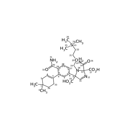 CC1(C)CC=C(c2cc(C3(C(=O)O)C=NC(C(N)=O)(C(=O)O)N3COCC[Si](C)(C)C)ccc2C(N)=O)CC1